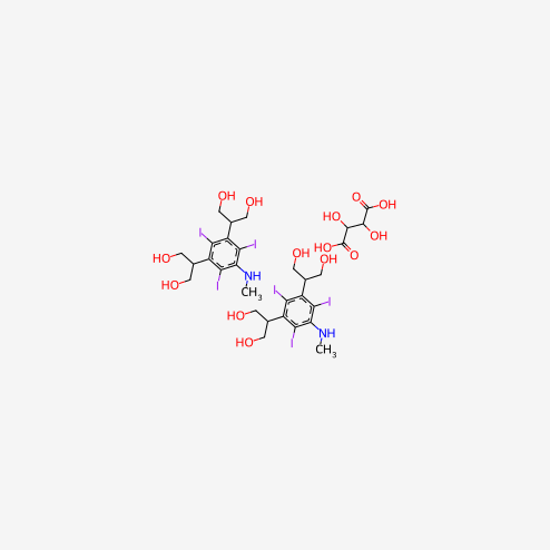 CNc1c(I)c(C(CO)CO)c(I)c(C(CO)CO)c1I.CNc1c(I)c(C(CO)CO)c(I)c(C(CO)CO)c1I.O=C(O)C(O)C(O)C(=O)O